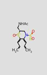 C=C/C=C1\C(=C/C=C)[S+]([O-])[C@@H](CNC(C)=O)CN1[SH](=O)=O